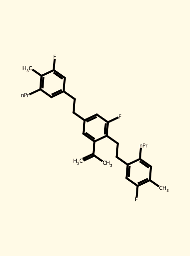 C=C(C)c1cc(CCc2cc(F)c(C)c(CCC)c2)cc(F)c1CCc1cc(F)c(C)cc1CCC